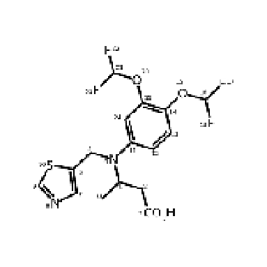 CC(CC(=O)O)N(Cc1cncs1)c1ccc(OC(F)F)c(OC(F)F)c1